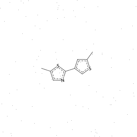 Cc1cc(-c2ncc(C)s2)cs1